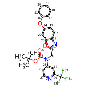 CC(C)(C)OC(=O)N(Cc1nc2ccc(Oc3ccccc3)cc2o1)c1ccnc(C(F)(F)F)c1